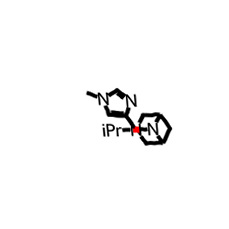 CC(C)N1CC2CC(C1)N2Cc1cn(C)cn1